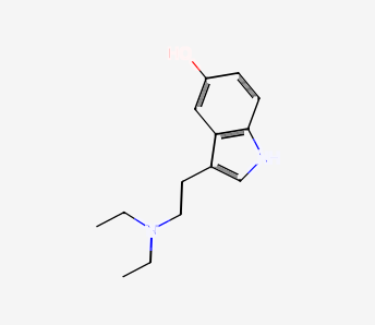 CCN(CC)CCc1c[nH]c2ccc(O)cc12